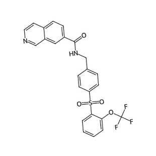 O=C(NCc1ccc(S(=O)(=O)c2ccccc2OC(F)(F)F)cc1)c1ccc2ccncc2c1